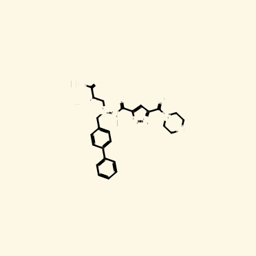 O=C(NN(Cc1ccc(-c2ccccc2)cc1)C[C@@H](O)C(=O)O)c1cc(C(=O)N2CCOCC2)n[nH]1